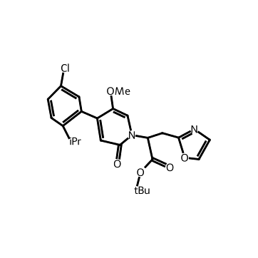 COc1cn(C(Cc2ncco2)C(=O)OC(C)(C)C)c(=O)cc1-c1cc(Cl)ccc1C(C)C